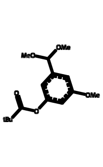 COc1cc(OC(=O)C(C)(C)C)cc(C(OC)OC)c1